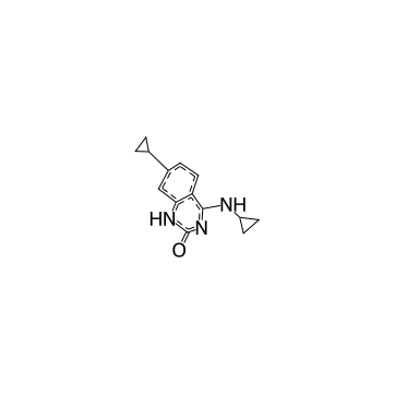 O=c1nc(NC2CC2)c2ccc(C3CC3)cc2[nH]1